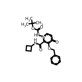 CC(C)(C)OC(=O)Nn1ccc(=O)c(OCc2ccccc2)c1C(=O)NC1CCC1